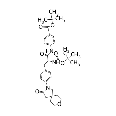 CC(C)(C)OC(=O)NC(Cc1ccc(N2CC3(CCOCC3)CC2=O)cc1)C(=O)Nc1ccc(C(=O)OC(C)(C)C)cc1